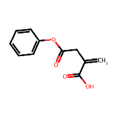 C=C(CC(=O)Oc1ccccc1)C(=O)O